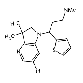 CNCCC(c1cccs1)N1CC(C)(C)c2ncc(Cl)cc21